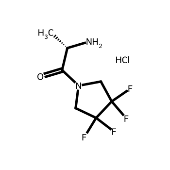 C[C@H](N)C(=O)N1CC(F)(F)C(F)(F)C1.Cl